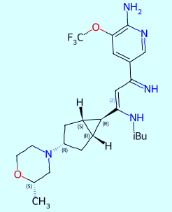 CCC(C)N/C(=C\C(=N)c1cnc(N)c(OC(F)(F)F)c1)[C@H]1[C@@H]2C[C@H](N3CCO[C@@H](C)C3)C[C@@H]21